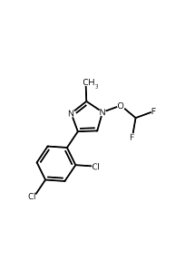 Cc1nc(-c2ccc(Cl)cc2Cl)cn1OC(F)F